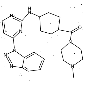 CN1CCN(C(=O)C2CCC(Nc3nccc(-n4nnc5ccccc54)n3)CC2)CC1